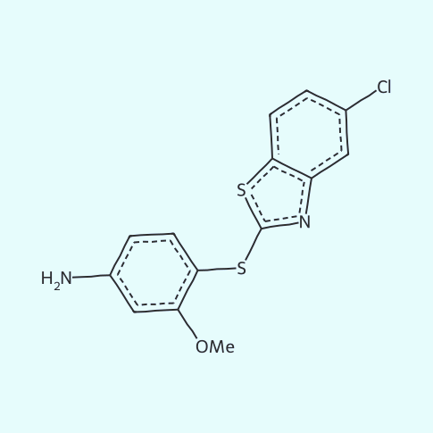 COc1cc(N)ccc1Sc1nc2cc(Cl)ccc2s1